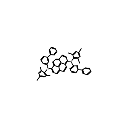 Cc1cc(C)c(N(c2cccc(-c3ccccc3)c2)c2ccc3ccc4c(N(c5cccc(-c6ccccc6)c5)c5c(C)cc(C)cc5C)ccc5ccc2c3c54)c(C)c1